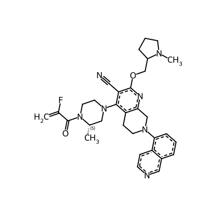 C=C(F)C(=O)N1CCN(c2c(C#N)c(OCC3CCCN3C)nc3c2CCN(c2cccc4cnccc24)C3)C[C@@H]1C